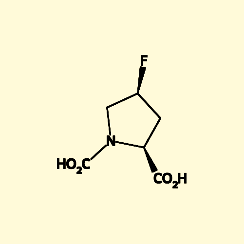 O=C(O)[C@@H]1C[C@H](F)CN1C(=O)O